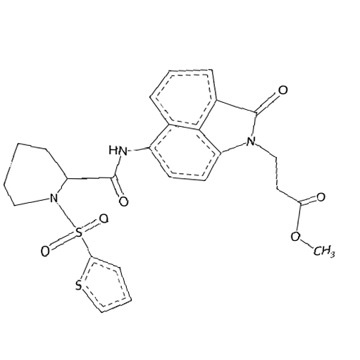 COC(=O)CCN1C(=O)c2cccc3c(NC(=O)C4CCCCN4S(=O)(=O)c4cccs4)ccc1c23